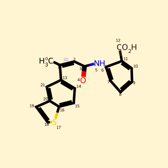 C/C(=C/C(=O)Nc1ccccc1C(=O)O)c1ccc2sccc2c1